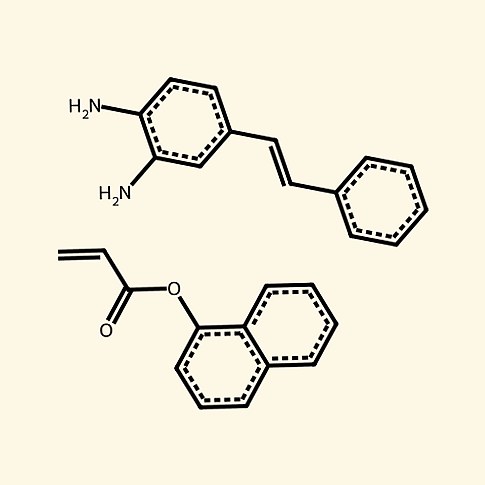 C=CC(=O)Oc1cccc2ccccc12.Nc1ccc(C=Cc2ccccc2)cc1N